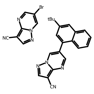 CC(C)(C)c1cc(-c2cnc3c(C#N)cnn3c2)c2ccccc2c1.N#Cc1cnn2cc(Br)cnc12